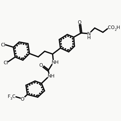 O=C(O)CCNC(=O)c1ccc(C(CCc2ccc(Cl)c(Cl)c2)NC(=O)Nc2ccc(OC(F)(F)F)cc2)cc1